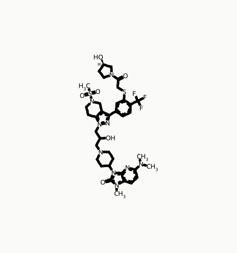 CN(C)c1ccc2c(n1)n(C1CCN(CC(O)Cn3nc(-c4ccc(C(F)(F)F)c(SCC(=O)N5CC[C@@H](O)C5)c4)c4c3CCN(S(C)(=O)=O)C4)CC1)c(=O)n2C